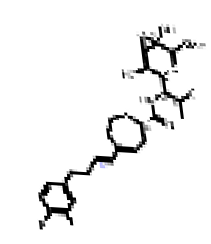 CSC1O[C@H]([C@H](NC(=O)[C@@H]2CC=C(/C=C/CCc3ccc(F)c(F)c3)CCN2)[C@H](C)Cl)C(O)C2O[C@]12O